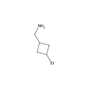 CCC1CC(CN)C1